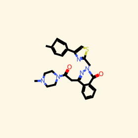 Cc1ccc(-c2csc(Cn3nc(CC(=O)N4CCN(C)CC4)c4ccccc4c3=O)n2)cc1